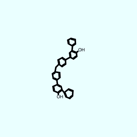 Oc1ccc(-c2ccc(Cc3ccc(-c4ccc(O)c(-c5ccccc5)c4)cc3)cc2)cc1-c1ccccc1